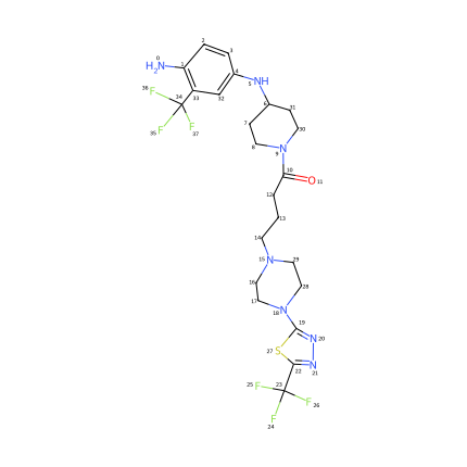 Nc1ccc(NC2CCN(C(=O)CCCN3CCN(c4nnc(C(F)(F)F)s4)CC3)CC2)cc1C(F)(F)F